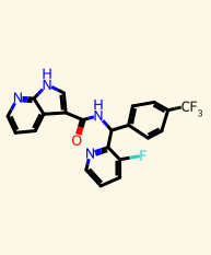 O=C(NC(c1ccc(C(F)(F)F)cc1)c1ncccc1F)c1c[nH]c2ncccc12